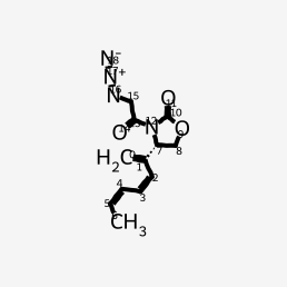 C=C(/C=C\C=C/C)[C@H]1COC(=O)N1C(=O)CN=[N+]=[N-]